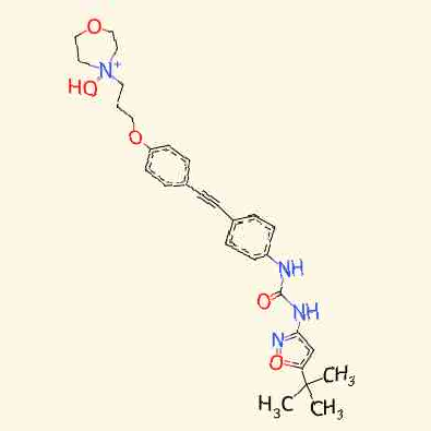 CC(C)(C)c1cc(NC(=O)Nc2ccc(C#Cc3ccc(OCCC[N+]4(O)CCOCC4)cc3)cc2)no1